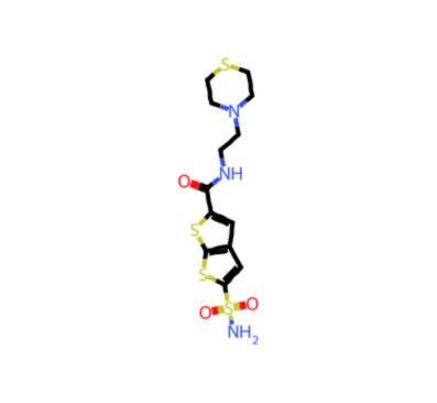 NS(=O)(=O)c1cc2cc(C(=O)NCCN3CCSCC3)sc2s1